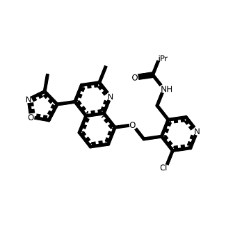 Cc1cc(-c2conc2C)c2cccc(OCc3c(Cl)cncc3CNC(=O)C(C)C)c2n1